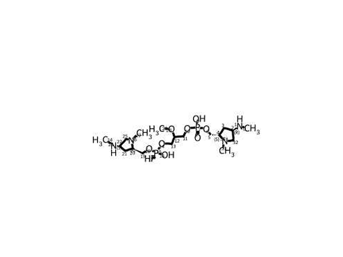 CN[C@@H]1C[C@@H](COP(=O)(O)OCC(COP(O)(=P)OC[C@H]2C[C@H](NC)CN2C)OC)N(C)C1